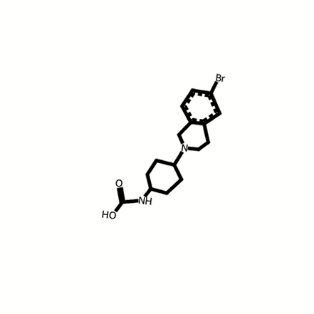 O=C(O)NC1CCC(N2CCc3cc(Br)ccc3C2)CC1